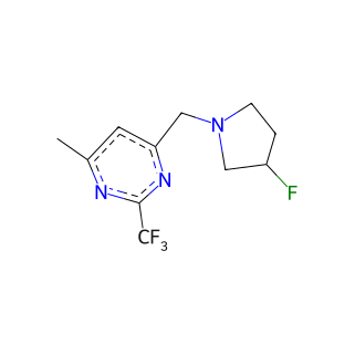 Cc1cc(CN2CCC(F)C2)nc(C(F)(F)F)n1